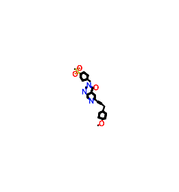 COc1ccc(CC#Cc2cc3c(=O)n(Cc4ccc(S(C)(=O)=O)cc4)cnc3cn2)cc1